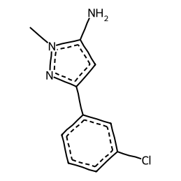 Cn1nc(-c2cccc(Cl)c2)cc1N